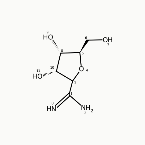 N=C(N)C1O[C@H](CO)[C@@H](O)[C@H]1O